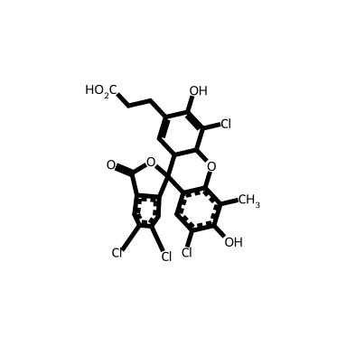 Cc1c(O)c(Cl)cc2c1OC1C(Cl)=C(O)C(CCC(=O)O)=CC1C21OC(=O)c2cc(Cl)c(Cl)cc21